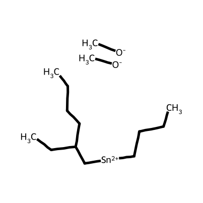 CCC[CH2][Sn+2][CH2]C(CC)CCCC.C[O-].C[O-]